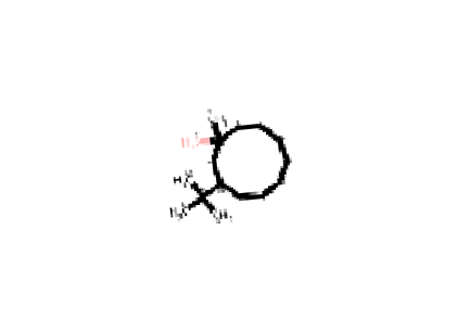 BC1(C)CCCCCCCC(C(C)(C)C)C1